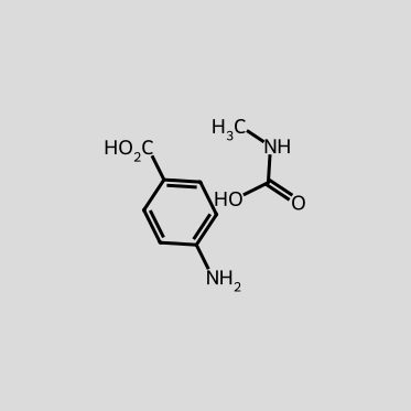 CNC(=O)O.Nc1ccc(C(=O)O)cc1